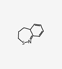 C1=CC2=NSCCCC2C=C1